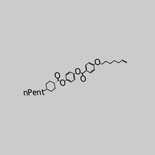 C=CCCCCCOc1ccc(C(=O)Oc2ccc(OC(=O)[C@H]3CC[C@H](CCCCC)CC3)cc2)cc1